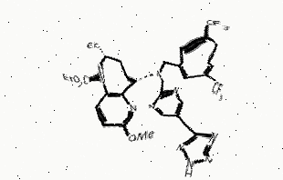 CCOC(=O)N1c2ccc(OC)nc2[C@@H](N(Cc2cc(C(F)(F)F)cc(C(F)(F)F)c2)c2ncc(-c3nn[nH]n3)cn2)C[C@H]1CC